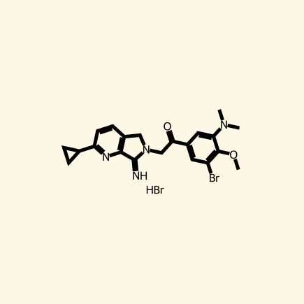 Br.COc1c(Br)cc(C(=O)CN2Cc3ccc(C4CC4)nc3C2=N)cc1N(C)C